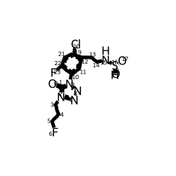 O=c1n(CCCF)nnn1-c1cc(CCN[SH](=O)=O)c(Cl)cc1F